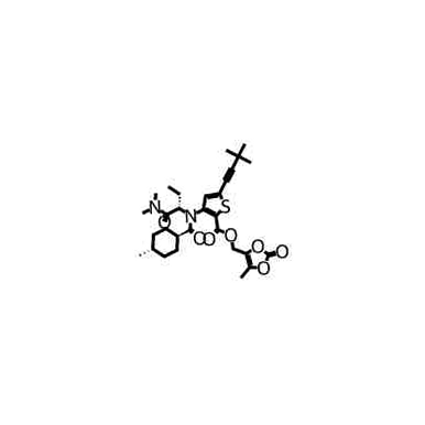 CC[C@@H](C(=O)N(C)C)N(c1cc(C#CC(C)(C)C)sc1C(=O)OCc1oc(=O)oc1C)C(=O)[C@H]1CC[C@H](C)CC1